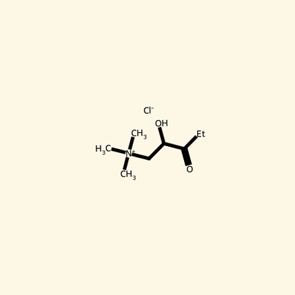 CCC(=O)C(O)C[N+](C)(C)C.[Cl-]